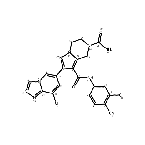 N#Cc1ccc(NC(=O)c2c(-c3cc(Cl)c4nncn4c3)nn3c2CN(C(N)=O)CC3)cc1Cl